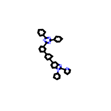 c1ccc(-c2nc(-c3ccccc3)nc(-c3cccc(-c4ccc(-c5ccc6c(c5)nc(-c5ccccn5)n6-c5ccccc5)cc4)c3)n2)cc1